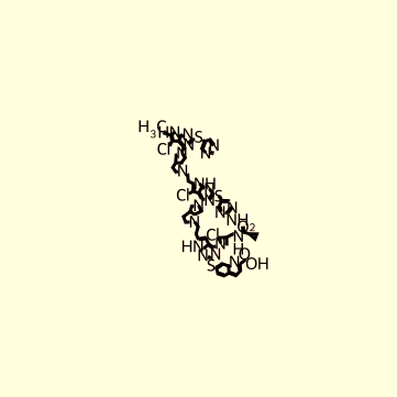 CCc1[nH]c2nc(Sc3cncnc3)nc(N3CC4CCN(CCc5[nH]c6nc(Sc7cnc(N)nc7)nc(N7CC8CCN(CCc9[nH]c%10nc(Sc%11ccc%12ccc(C(=O)O)nc%12c%11)nc(N%11CC(CNC(=O)C%12CC%12)C%11)c%10c9Cl)C8C7)c6c5Cl)C4C3)c2c1Cl